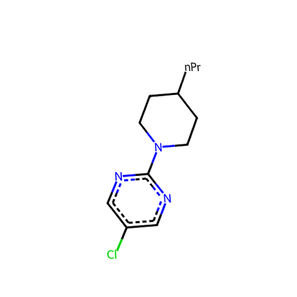 [CH2]CCC1CCN(c2ncc(Cl)cn2)CC1